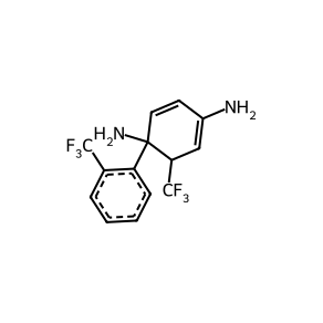 NC1=CC(C(F)(F)F)C(N)(c2ccccc2C(F)(F)F)C=C1